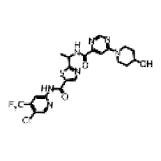 CC(NC(=O)c1cc(N2CCC(O)CC2)ncn1)c1ncc(C(=O)Nc2cc(C(F)(F)F)c(Cl)cn2)s1